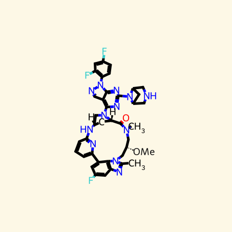 CO[C@H]1CN(C)C(=O)[C@@H]2C[C@@H](CN2c2nc(N3C4CNCC3C4)nc3c2cnn3-c2ccc(F)cc2F)Nc2cccc(n2)-c2cc(F)cc3nc(C)n(c23)C1